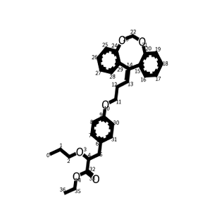 CCCOC(Cc1ccc(OCCC=C2c3ccccc3OCOc3ccccc32)cc1)C(=O)OCC